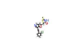 O=C1NC(=S)S/C1=C\c1cc2cncc(C#Cc3ccccc3Cl)c2o1